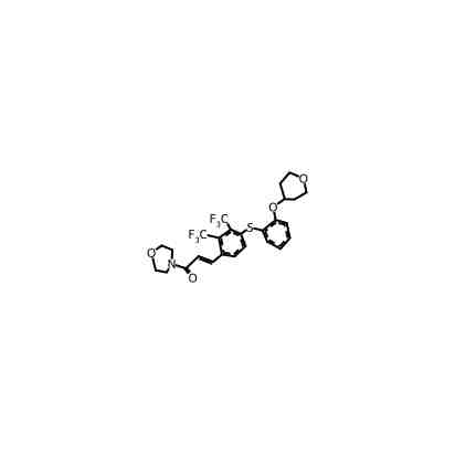 O=C(C=Cc1ccc(Sc2ccccc2OC2CCOCC2)c(C(F)(F)F)c1C(F)(F)F)N1CCOCC1